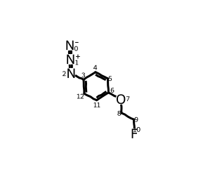 [N-]=[N+]=Nc1ccc(OCCF)cc1